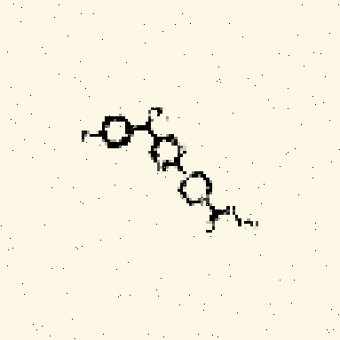 CC(C)(C)OC(=O)N1CCN(c2ncc(C(c3ccc(F)cc3)C(F)(F)F)cn2)CC1